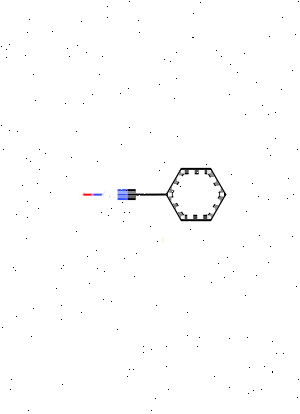 F.[O-][N+]#Cc1ccccc1